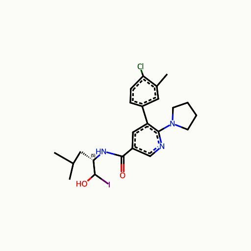 Cc1cc(-c2cc(C(=O)N[C@@H](CC(C)C)C(O)I)cnc2N2CCCC2)ccc1Cl